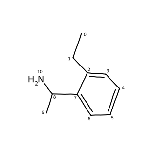 CCc1ccccc1C(C)N